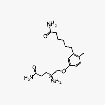 Cc1ccc(OC[C@@H](N)CCC(N)=O)cc1CCCCCC(N)=O